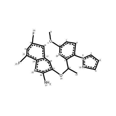 COc1ccc(-n2cccn2)c(C(C)Oc2cc3cc(F)cc(F)c3nc2N)n1